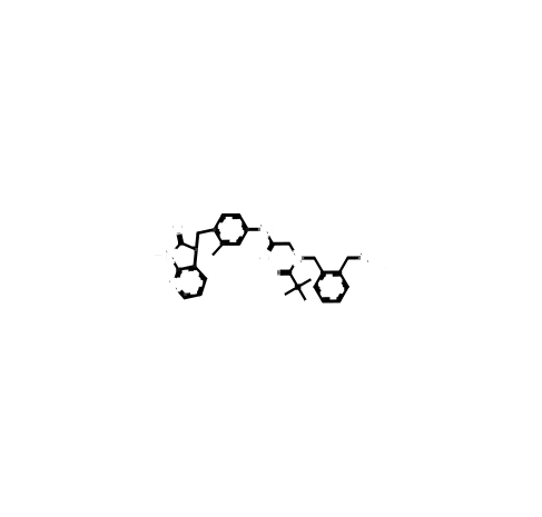 CC(C)(C)C(=O)N(CC(=O)Nc1ccc2c(c1)C[C@@]1(C2)C(=O)Nc2ncccc21)Cc1ccccc1CN